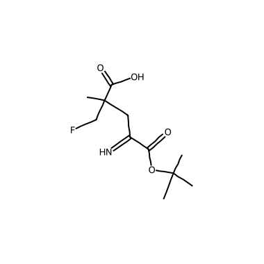 CC(C)(C)OC(=O)C(=N)CC(C)(CF)C(=O)O